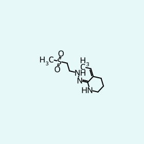 C/C=C1/CCCN/C1=N/NCCS(C)(=O)=O